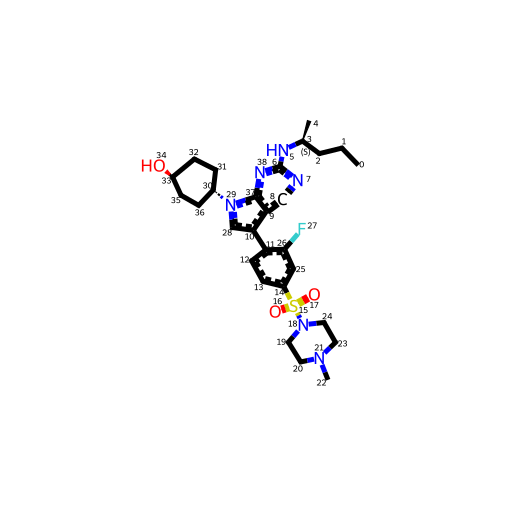 CCC[C@H](C)Nc1ncc2c(-c3ccc(S(=O)(=O)N4CCN(C)CC4)cc3F)cn([C@H]3CC[C@H](O)CC3)c2n1